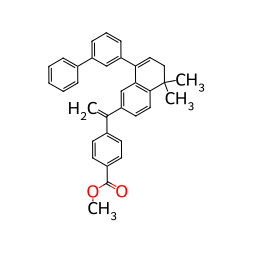 C=C(c1ccc(C(=O)OC)cc1)c1ccc2c(c1)C(c1cccc(-c3ccccc3)c1)=CCC2(C)C